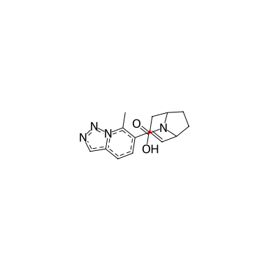 Cc1c(C2=CC3CCC(C2)N3C(=O)O)ccc2cnnn12